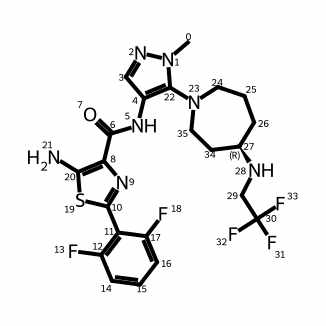 Cn1ncc(NC(=O)c2nc(-c3c(F)cccc3F)sc2N)c1N1CCC[C@@H](NCC(F)(F)F)CC1